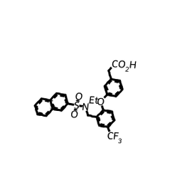 CCN(Cc1cc(C(F)(F)F)ccc1Oc1cccc(CC(=O)O)c1)S(=O)(=O)c1ccc2ccccc2c1